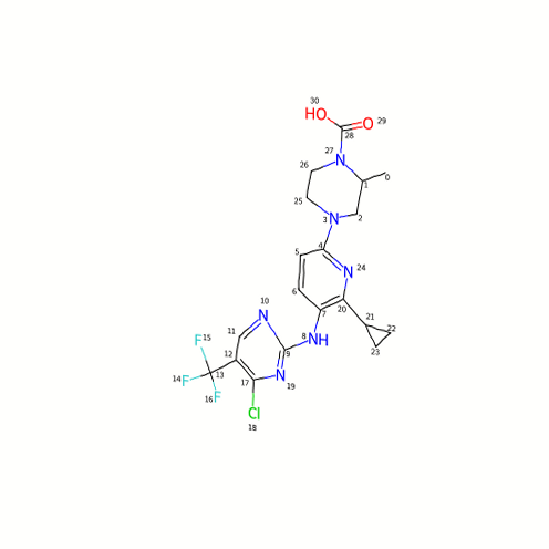 CC1CN(c2ccc(Nc3ncc(C(F)(F)F)c(Cl)n3)c(C3CC3)n2)CCN1C(=O)O